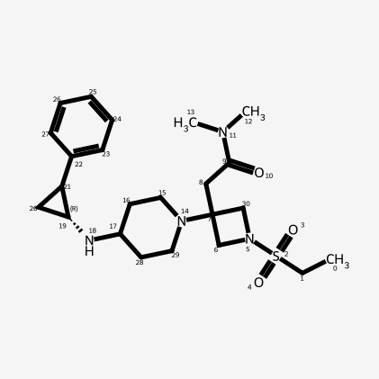 CCS(=O)(=O)N1CC(CC(=O)N(C)C)(N2CCC(N[C@@H]3CC3c3ccccc3)CC2)C1